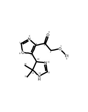 CCOCC(=O)c1ncoc1C1N=CNC1(C)C